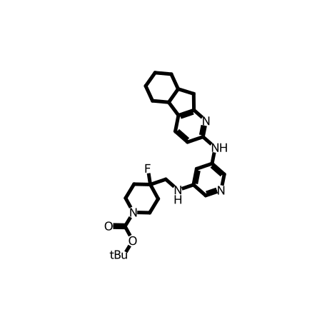 CC(C)(C)OC(=O)N1CCC(F)(CNc2cncc(Nc3ccc4c(n3)CC3CCCCC43)c2)CC1